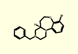 Brc1cccc2c1OCC[C@H]1CN(Cc3ccccc3)CCN21